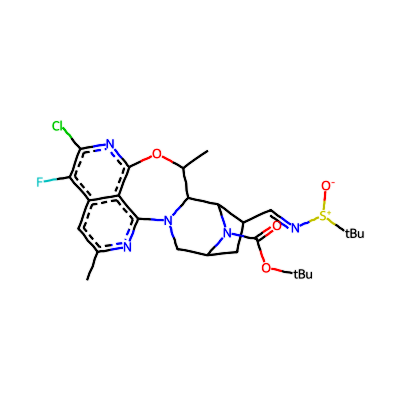 Cc1cc2c(F)c(Cl)nc3c2c(n1)N1CC2CC(/C=N/[S+]([O-])C(C)(C)C)C(C1C(C)O3)N2C(=O)OC(C)(C)C